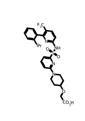 CC(C)c1ccccc1-c1nc(NS(=O)(=O)c2cccc(N3CCC(OCC(=O)O)CC3)n2)ccc1C(F)(F)F